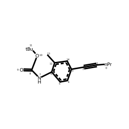 CCCC#Cc1ccc(NC(=O)OC(C)(C)C)c(C)c1